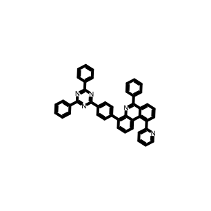 c1ccc(-c2nc(-c3ccccc3)nc(-c3ccc(-c4cccc5c4nc(-c4ccccc4)c4cccc(-c6ccccn6)c45)cc3)n2)cc1